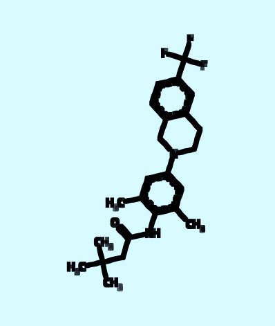 Cc1cc(N2CCc3cc(C(F)(F)F)ccc3C2)cc(C)c1NC(=O)CC(C)(C)C